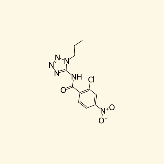 CCCn1nnnc1NC(=O)c1ccc([N+](=O)[O-])cc1Cl